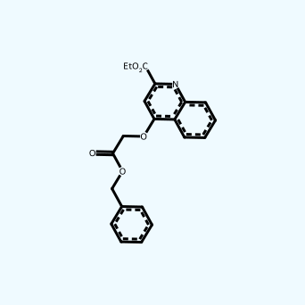 CCOC(=O)c1cc(OCC(=O)OCc2ccccc2)c2ccccc2n1